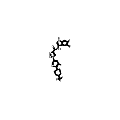 O=C(Nc1c[nH]c2cc(F)c(F)cc12)c1cn(-c2cnc(C3CCC(C(F)(F)F)CC3)c(F)c2)nn1